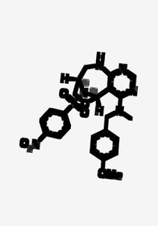 COc1ccc(CN(C)c2ncnc3c2[C@@H]2OC[C@H](CN3)N2S(=O)(=O)c2ccc([N+](=O)[O-])cc2)cc1